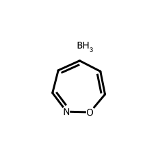 B.C1=CC=NOC=C1